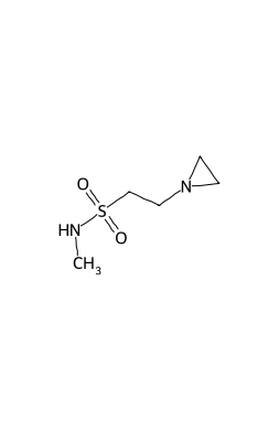 CNS(=O)(=O)CCN1CC1